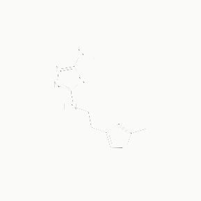 Cc1cc(CCNc2nnc(N)[nH]2)cs1